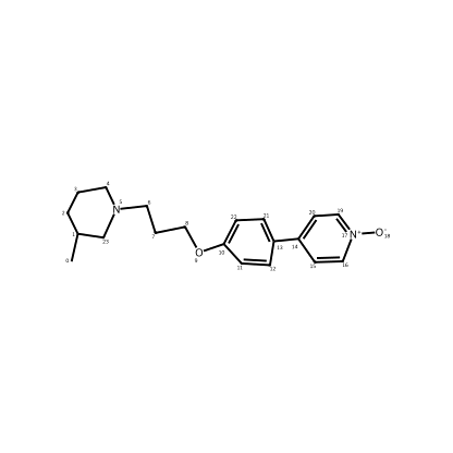 CC1CCCN(CCCOc2ccc(-c3cc[n+]([O-])cc3)cc2)C1